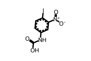 O=C(O)Nc1ccc(I)c([N+](=O)[O-])c1